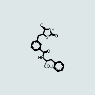 O=C1NC(=O)C(Cc2cccc(C(=O)N[C@@H](Cc3ccccc3)C(=O)O)c2)S1